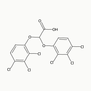 O=C(O)C(Oc1ccc(Cl)c(Cl)c1Cl)Oc1ccc(Cl)c(Cl)c1Cl